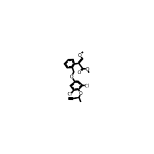 C#CC(C)Oc1c(Cl)cc(OCc2ccccc2/C(=C\OC)C(=O)OC)cc1Cl